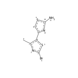 Cc1nc(Br)sc1-c1csc(N)n1